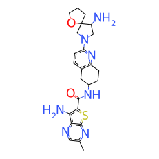 Cc1cnc2c(N)c(C(=O)NC3CCc4nc(N5CC(N)C6(CCCO6)C5)ccc4C3)sc2n1